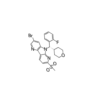 CS(=O)(=O)c1ccc2c3ncc(Br)cc3n([C@H](c3ccccc3F)C3CCOCC3)c2n1